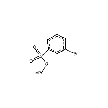 CCCOS(=O)(=O)c1cccc(Br)c1